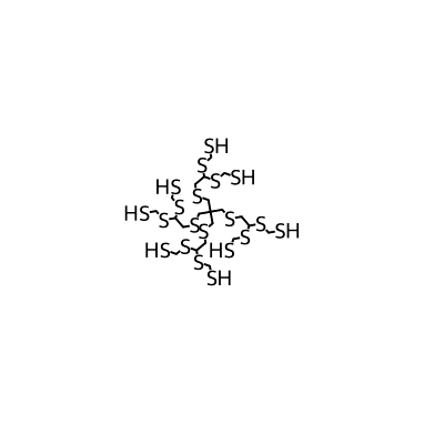 SCSC(CSCC(CSCC(SCS)SCS)(CSCC(SCS)SCS)CSCC(SCS)SCS)SCS